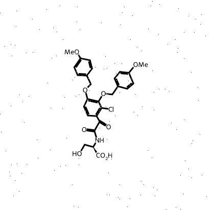 COc1ccc(COc2ccc(C(=O)C(=O)N[C@H](CO)C(=O)O)c(Cl)c2OCc2ccc(OC)cc2)cc1